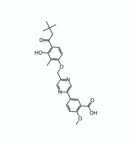 COc1ccc(-c2cnc(COc3ccc(C(=O)CC(C)(C)C)c(O)c3C)cn2)cc1C(=O)O